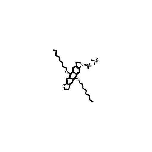 CCCCCCCCOc1c2cc3ccsc3cc2c(OCCCCCCCC)c2cc3ccsc3cc12.[CH3][Sn]([CH3])[CH3].[CH3][Sn]([CH3])[CH3]